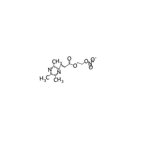 Cc1nc(C)c(/C=C/C(=O)OCCO[N+](=O)[O-])nc1C